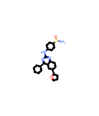 N[S+]([O-])c1ccc(Nc2nc(-c3ccccc3)c3cc(-c4ccco4)ccc3n2)cc1